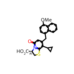 COc1ccc(Cc2cc(=O)n3c(c2C2CC2)SC[C@H]3C(=O)O)c2ccccc12